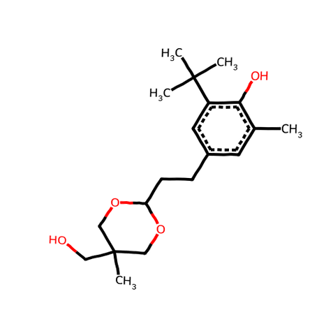 Cc1cc(CCC2OCC(C)(CO)CO2)cc(C(C)(C)C)c1O